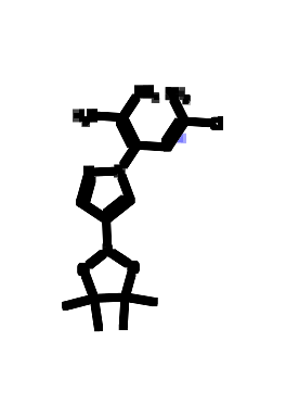 CC1(C)OB(c2cnn(C(/C=C(\N)Cl)=C(N)N)c2)OC1(C)C